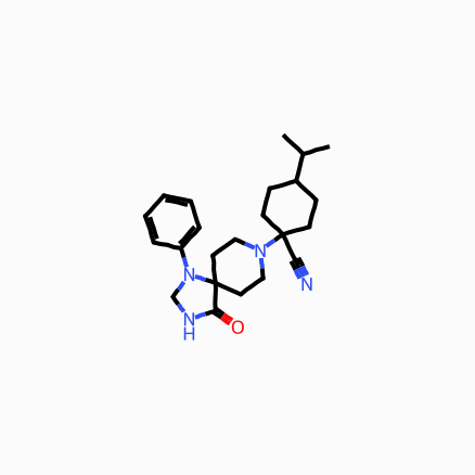 CC(C)C1CCC(C#N)(N2CCC3(CC2)C(=O)NCN3c2ccccc2)CC1